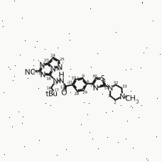 CN1CCN(c2nc(-c3ccc(C(=O)NN(CC(C)(C)C)c4nc(C#N)nc5ccnn45)cc3)cs2)CC1